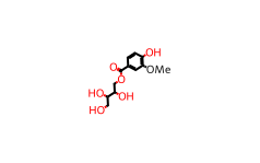 COc1cc(C(=O)OCC(O)C(O)CO)ccc1O